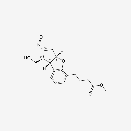 COC(=O)CCCc1cccc2c1O[C@H]1C[C@@H](N=O)[C@H](CO)[C@@H]21